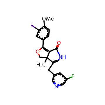 COc1ccc(C2=C3C(=O)NC=C(Cc4cncc(F)c4)C3(C)CO2)cc1I